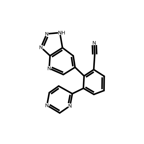 N#Cc1cccc(-c2ccncn2)c1-c1cnc2nn[nH]c2c1